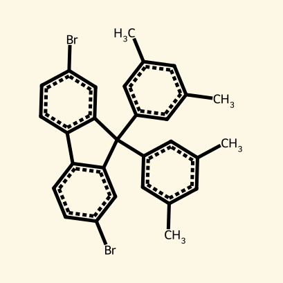 Cc1cc(C)cc(C2(c3cc(C)cc(C)c3)c3cc(Br)ccc3-c3ccc(Br)cc32)c1